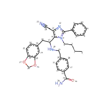 CCCCn1c(-c2ccccc2)nc(C#N)c1C(Cc1ccc2c(c1)OCO2)NCc1ccc(C(N)=O)cc1